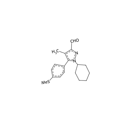 CSc1ccc(-c2c(C)c(C=O)nn2C2CCCCC2)cc1